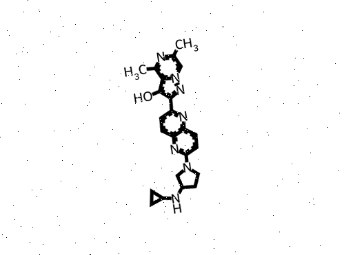 Cc1cn2nc(-c3ccc4nc(N5CCC(NC6CC6)C5)ccc4n3)c(O)c2c(C)n1